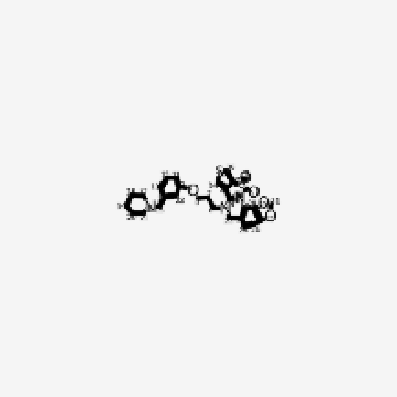 O=S1(=O)N=C(N(CCCOc2cccc(CN3CCCCC3)c2)Cc2ccc3c(c2)OCO3)c2cscc21